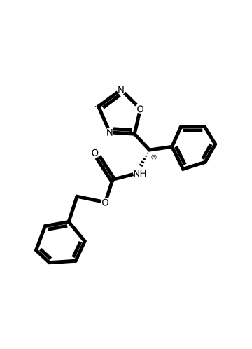 O=C(N[C@@H](c1ccccc1)c1n[c]no1)OCc1ccccc1